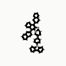 c1ccc2cc(-c3c4ccccc4c(-c4ccc5ccccc5c4)c4c3nc3ccc(-c5ccc(-n6c7ccccc7c7ccccc76)cc5)cn34)ccc2c1